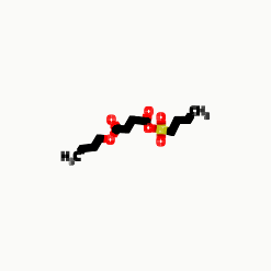 CCCCOC(=O)CCC(=O)OS(=O)(=O)CCCC